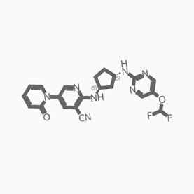 N#Cc1cc(-n2ccccc2=O)cnc1N[C@H]1CC[C@H](Nc2ncc(OC(F)F)cn2)C1